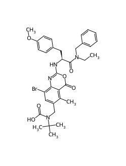 CCN(Cc1ccccc1)C(=O)[C@H](Cc1ccc(OC)cc1)Nc1nc2c(Br)cc(CN(C(=O)O)C(C)(C)C)c(C)c2c(=O)o1